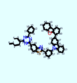 C=C/C=C\C(=C/C)c1nc(-c2ccccc2)nc(-c2ccc3sc(-c4cccc(-n5c6ccccc6c6cc(-c7cccc8c7oc7ccccc78)ccc65)c4)nc3c2)n1